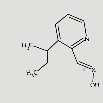 CCC(C)c1cccnc1/C=N/O